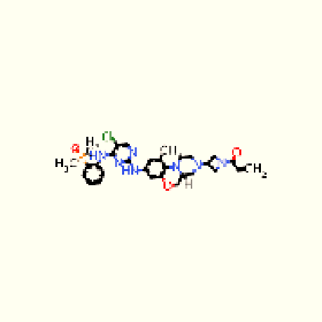 C=CC(=O)N1CC(N2CCN3c4c(C)cc(Nc5ncc(Cl)c(Nc6ccccc6P(C)(C)=O)n5)cc4OC[C@H]3C2)C1